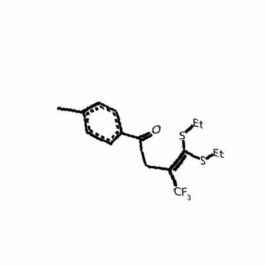 CCSC(SCC)=C(CC(=O)c1ccc(C)cc1)C(F)(F)F